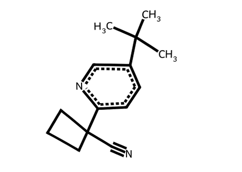 CC(C)(C)c1ccc(C2(C#N)CCC2)nc1